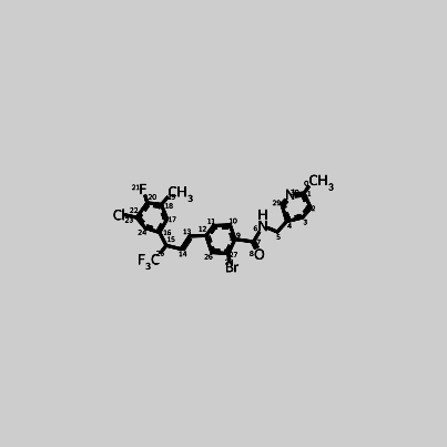 Cc1ccc(CNC(=O)c2ccc(/C=C/C(c3cc(C)c(F)c(Cl)c3)C(F)(F)F)cc2Br)cn1